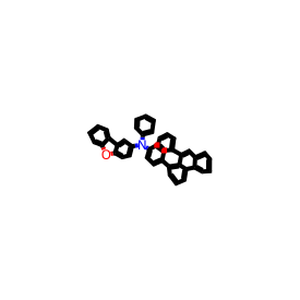 c1ccc(-c2cc3ccccc3c3cccc(-c4ccc(N(c5ccccc5)c5ccc6oc7ccccc7c6c5)cc4)c23)cc1